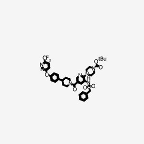 CC(C)(C)OC(=O)N1CCN(c2ncc(C(=O)N3CCC(c4ccc(Oc5ccc(C(F)(F)F)nn5)cc4)CC3)cc2NS(=O)(=O)Cc2ccccc2)CC1